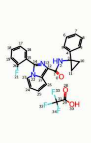 O=C(NC1(c2ccccc2)CC1)c1nc(-c2ccccc2F)n2ccccc12.O=C(O)C(F)(F)F